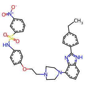 CCc1ccc(-c2nc3c(N4CCN(CCOc5ccc(NS(=O)(=O)c6cccc([N+](=O)[O-])c6)cc5)CC4)cccc3[nH]2)cc1